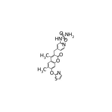 Cc1cc2c(C)c(Cc3ccnc(NS(N)(=O)=O)c3)c(=O)oc2cc1Oc1nccs1